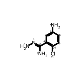 N/N=C(\N)c1cc(N)ccc1Cl